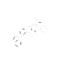 CCC(C(=N)C(=O)C(NC(=O)C(C)NC)C1CCCCC1)c1cncc(-n2cc(C)c3cc(F)ccc32)c1